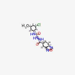 Cc1cc(Cl)cc(NC(=O)NNC(=O)c2ccc3nonc3c2)c1